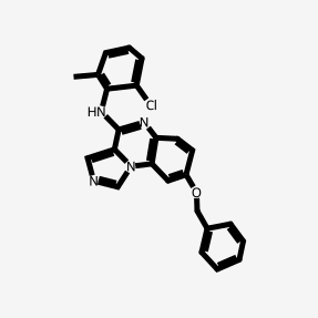 Cc1cccc(Cl)c1Nc1nc2ccc(OCc3ccccc3)cc2n2cncc12